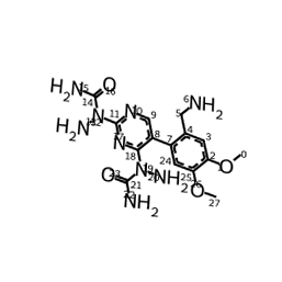 COc1cc(CN)c(-c2cnc(N(N)C(N)=O)nc2N(N)C(N)=O)cc1OC